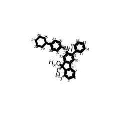 CC1(C)c2ccccc2-c2cc(-c3ccccc3)c(Nc3ccc(C4CCCCC4)cc3)cc21